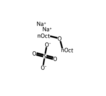 CCCCCCCCOCCCCCCCC.O=S(=O)([O-])[O-].[Na+].[Na+]